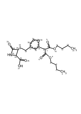 CCCCOC(=O)N(C(=O)OCCCC)c1cc(CSC2C(=O)NC2C(=O)O)ccn1